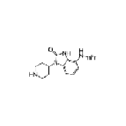 CCCNc1cccc2c1[nH]c(=O)n2C1CCNCC1